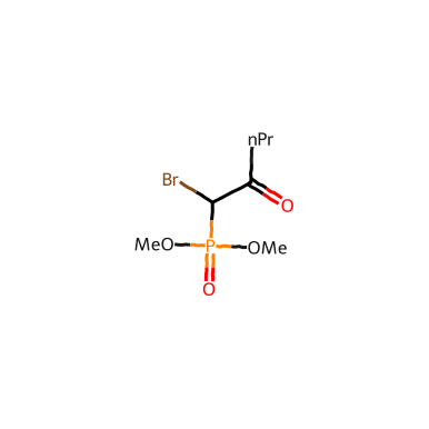 CCCC(=O)C(Br)P(=O)(OC)OC